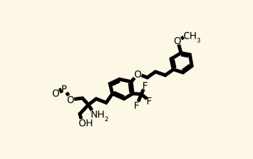 COc1cccc(CCCOc2ccc(CCC(N)(CO)COP=O)cc2C(F)(F)F)c1